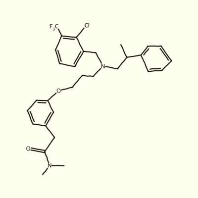 CC(CN(CCCOc1cccc(CC(=O)N(C)C)c1)Cc1cccc(C(F)(F)F)c1Cl)c1ccccc1